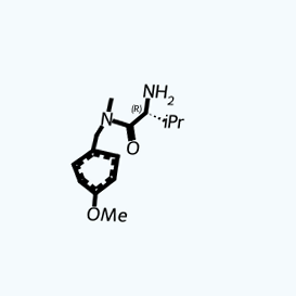 COc1ccc(CN(C)C(=O)[C@H](N)C(C)C)cc1